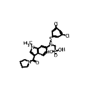 Cn1cc(C(=O)N2CCCC2)c2ccc(N(CP(=O)(O)O)Sc3cc(Cl)cc(Cl)c3)cc21